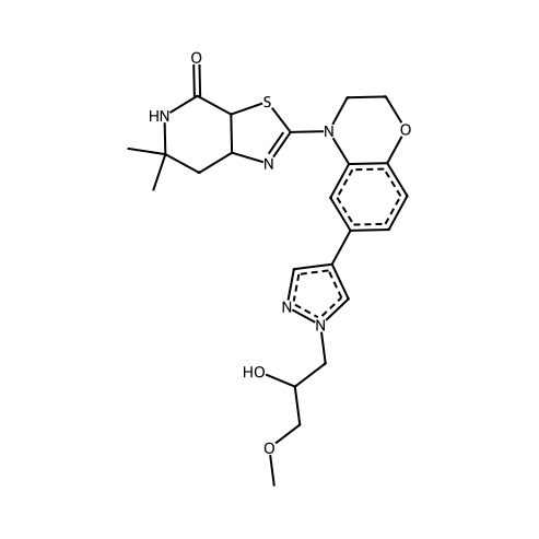 COCC(O)Cn1cc(-c2ccc3c(c2)N(C2=NC4CC(C)(C)NC(=O)C4S2)CCO3)cn1